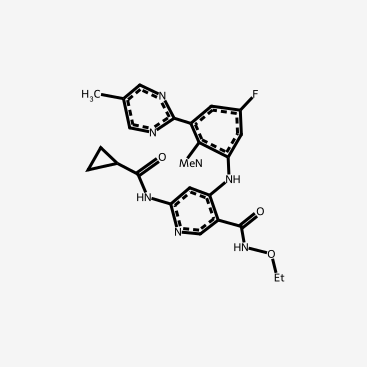 CCONC(=O)c1cnc(NC(=O)C2CC2)cc1Nc1cc(F)cc(-c2ncc(C)cn2)c1NC